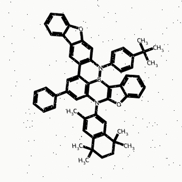 Cc1cc2c(cc1N1c3cc(-c4ccccc4)cc4c3B(c3c1oc1ccccc31)N(c1ccc(C(C)(C)C)cc1)c1cc3oc5ccccc5c3cc1-4)C(C)(C)CCC2(C)C